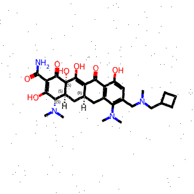 CN(Cc1cc(O)c2c(c1N(C)C)C[C@H]1C[C@H]3[C@H](N(C)C)C(O)=C(C(N)=O)C(=O)[C@@]3(O)C(O)=C1C2=O)CC1CCC1